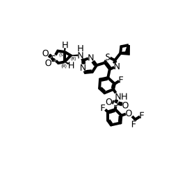 O=S1(=O)C[C@@H]2[C@H](C1)[C@H]2Nc1nccc(-c2sc(C34CC(C3)C4)nc2-c2cccc(NS(=O)(=O)c3c(F)cccc3OC(F)F)c2F)n1